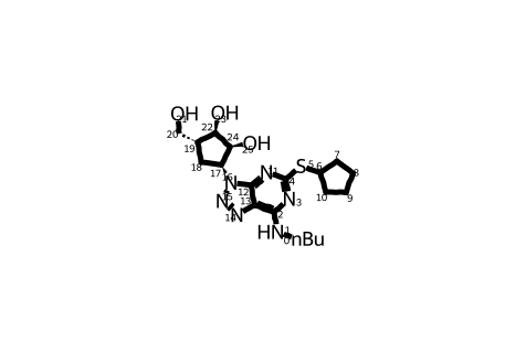 CCCCNc1nc(SC2CCCC2)nc2c1nnn2[C@@H]1C[C@H](CO)[C@@H](O)[C@H]1O